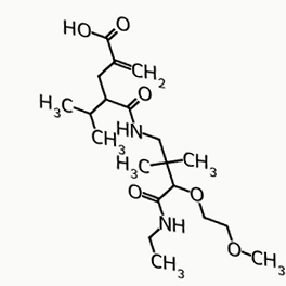 C=C(CC(C(=O)NCC(C)(C)C(OCCOC)C(=O)NCC)C(C)C)C(=O)O